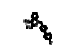 CC(C(=O)O)c1ccccc1OCc1ccc(-c2ccc(Cl)cc2)cc1